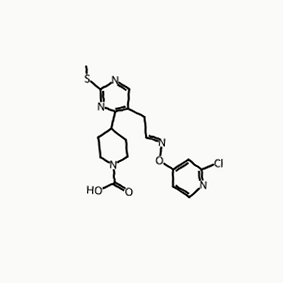 CSc1ncc(CC=NOc2ccnc(Cl)c2)c(C2CCN(C(=O)O)CC2)n1